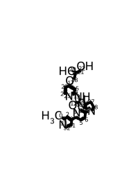 Cc1cc(-c2ccc3c(n2)N(C(=O)Nc2cc(OC[C@@H](O)CO)ccn2)[C@H]2CCN3C2)ccn1